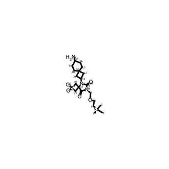 C[Si](C)(C)CCOCN1C(=O)N(C2CC3(CCC(N)CC3)C2)C2(CS(=O)(=O)C2)C1=O